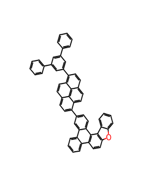 c1ccc(-c2cc(-c3ccccc3)cc(-c3ccc4ccc5c(-c6ccc7c(c6)c6ccccc6c6ccc8oc9ccccc9c8c67)ccc6ccc3c4c65)c2)cc1